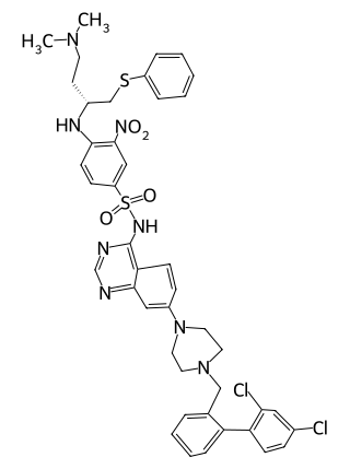 CN(C)CC[C@H](CSc1ccccc1)Nc1ccc(S(=O)(=O)Nc2ncnc3cc(N4CCN(Cc5ccccc5-c5ccc(Cl)cc5Cl)CC4)ccc23)cc1[N+](=O)[O-]